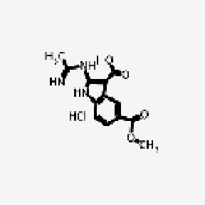 COC(=O)c1ccc2[nH]c(NC(C)=N)c(C(=O)O)c2c1.Cl